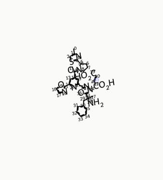 Cc1csc([C@H]2CCCN2C(=O)c2cc(-c3ncco3)nc(-c3nnc([C@](C)(N)Cc4ccccc4)o3)c2)n1.O=C(O)/C=C/C(=O)O